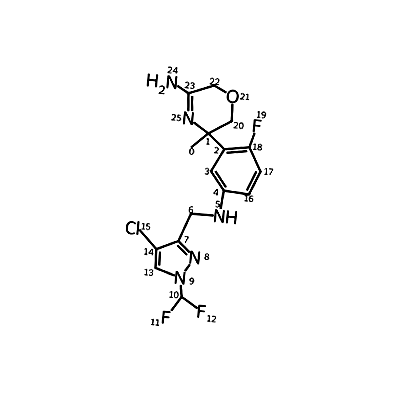 CC1(c2cc(NCc3nn(C(F)F)cc3Cl)ccc2F)COCC(N)=N1